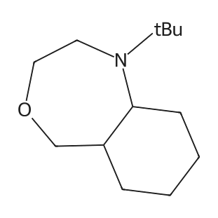 CC(C)(C)N1CCOCC2CCCCC21